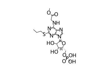 CCCSc1nc(NCC(=O)OC)c2ncn([C@@H]3O[C@H](COP(=O)(O)O)C(O)C3O)c2n1